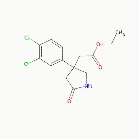 CCOC(=O)CC1(c2ccc(Cl)c(Cl)c2)CNC(=O)C1